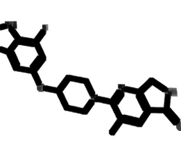 Cc1cc2c(nc1N1CCC(Oc3cc(F)c4[nH]ncc4c3)CC1)CNC2=O